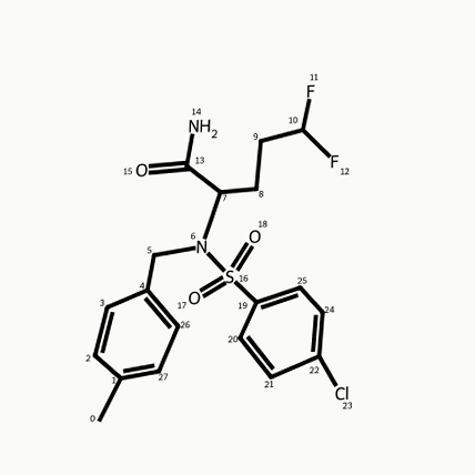 Cc1ccc(CN(C(CCC(F)F)C(N)=O)S(=O)(=O)c2ccc(Cl)cc2)cc1